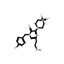 O=CCCc1cn(Cc2ccc(F)cc2)c(=O)c(N2CCS(=O)(=O)CC2)n1